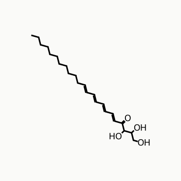 CCCCCCCCCCCC=CC=CC=CC=CC(=O)C(O)C(O)CO